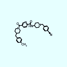 Cc1ccc(CC2CCN(C(=O)c3ccc(C(=O)NC4CCN(Cc5ccc(C#N)cc5)CC4)nc3)CC2)cc1